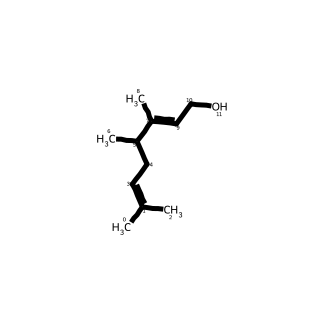 CC(C)=CCC(C)/C(C)=C/CO